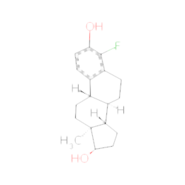 C[C@]12CC[C@@H]3c4ccc(O)c(F)c4CC[C@H]3[C@@H]1CC[C@H]2O